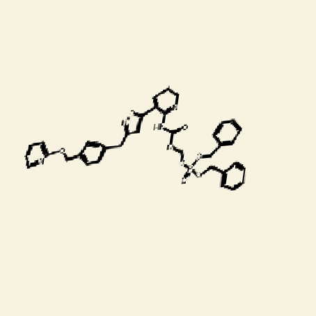 O=C(NC1=NCCC=C1c1cc(Cc2ccc(COc3ccccn3)cc2)no1)OCOP(=O)(OCc1ccccc1)OCc1ccccc1